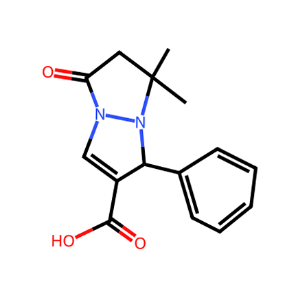 CC1(C)CC(=O)N2C=C(C(=O)O)C(c3ccccc3)N21